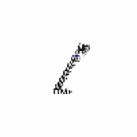 COCCOCCOCCOCCOCCOCCOCCOCCOCCOC(=O)/C=C/c1cccc(-c2nc3c(=O)n(CC4CCCCC4)c(=O)n(CC4CCCCC4)c3[nH]2)c1